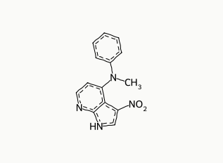 CN(c1ccccc1)c1ccnc2[nH]cc([N+](=O)[O-])c12